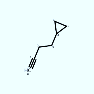 C#CCCC1CC1